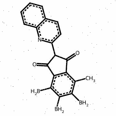 Bc1c(B)c(C)c2c(c1B)C(=O)C(c1ccc3ccccc3n1)C2=O